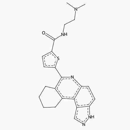 CN(C)CCNC(=O)c1ccc(-c2nc3ccc4[nH]ncc4c3c3c2CCCC3)s1